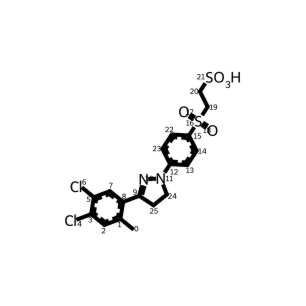 Cc1cc(Cl)c(Cl)cc1C1=NN(c2ccc(S(=O)(=O)CCS(=O)(=O)O)cc2)CC1